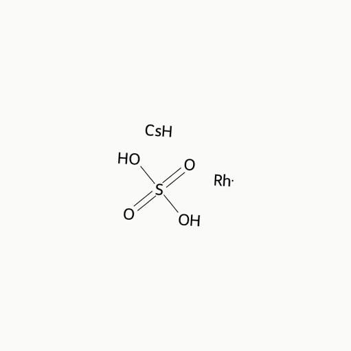 O=S(=O)(O)O.[CsH].[Rh]